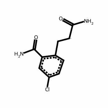 NC(=O)[CH]Cc1ccc(Cl)cc1C(N)=O